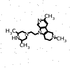 Cc1cc2c3c(n(CCN4CC(C)NC(C)C4)c2cn1)CCN(C)C3